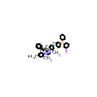 C1CCC(P(C2CCCCC2)C2CCCCC2)CC1.Cc1cc(C)c(N2CCN(c3c(C)cc(C)cc3C)[C]2=[Ru+2]=[CH]c2ccccc2)c(C)c1.[I-].[I-]